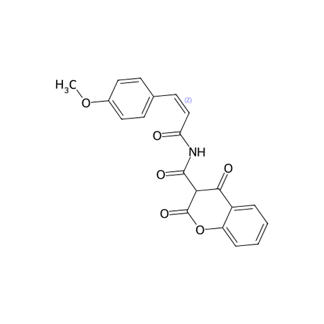 COc1ccc(/C=C\C(=O)NC(=O)C2C(=O)Oc3ccccc3C2=O)cc1